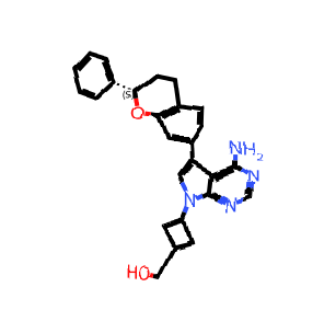 Nc1ncnc2c1c(-c1ccc3c(c1)O[C@H](c1ccccc1)CC3)cn2C1CC(CO)C1